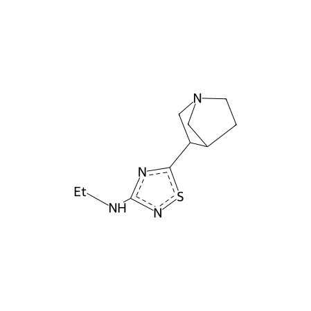 CCNc1nsc(C2CN3CCC2C3)n1